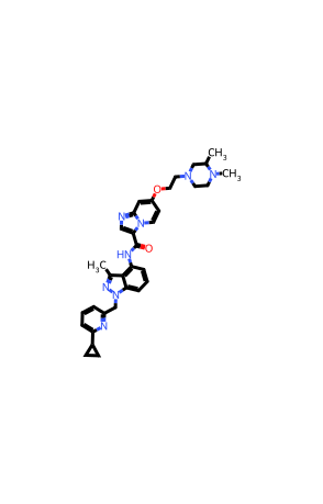 Cc1nn(Cc2cccc(C3CC3)n2)c2cccc(NC(=O)c3cnc4cc(OCCN5CCN(C)C(C)C5)ccn34)c12